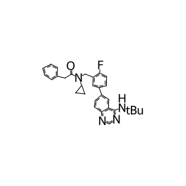 CC(C)(C)Nc1ncnc2ccc(-c3ccc(F)c(CN(C(=O)Cc4ccccc4)C4CC4)c3)cc12